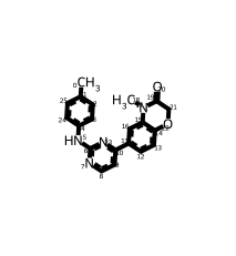 Cc1ccc(Nc2nccc(-c3ccc4c(c3)N(C)C(=O)CO4)n2)cc1